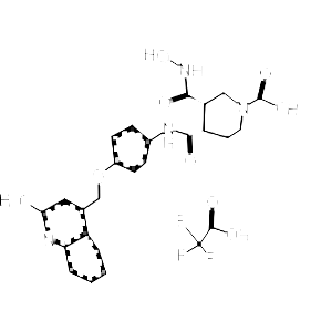 CC(=O)N1CC[C@H](C(=O)Nc2ccc(OCc3cc(C)nc4ccccc34)cc2)[C@@H](C(=O)NO)C1.O=C(O)C(F)(F)F